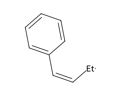 C[CH]/C=C\c1ccccc1